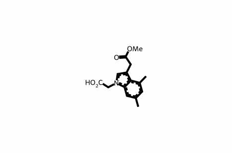 COC(=O)Cc1cn(CC(=O)O)c2cc(C)cc(C)c12